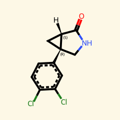 O=C1NC[C@]2(c3ccc(Cl)c(Cl)c3)C[C@H]12